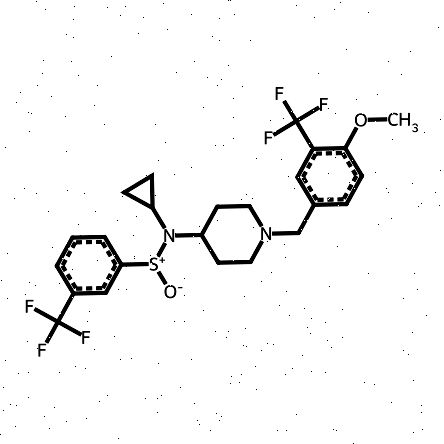 COc1ccc(CN2CCC(N(C3CC3)[S+]([O-])c3cccc(C(F)(F)F)c3)CC2)cc1C(F)(F)F